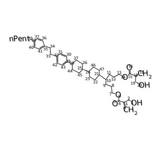 C=C(CO)C(=O)OCCCC(CCCOC(=O)C(=C)CO)C1CCC(C2CCC(c3ccc(CCc4ccc(CCCCC)cc4)cc3)CC2)CC1